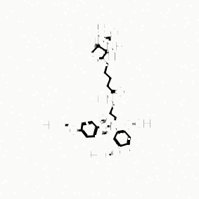 CCOc1ccc(S(=O)(=O)N(CCCNC(=O)CCCC[C@H]2SC[C@H]3NC(=O)N[C@H]32)c2cc(OC)c(Cl)cc2OC)cc1